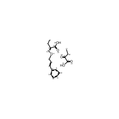 CCC(=NOCC=Cc1ccccc1)C(=O)O.CCC(=O)C(=O)O